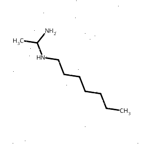 CCCCCCCNC(C)N